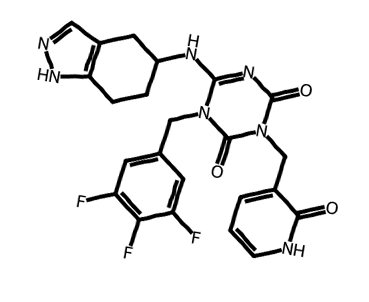 O=c1[nH]cccc1Cn1c(=O)nc(NC2CCc3[nH]ncc3C2)n(Cc2cc(F)c(F)c(F)c2)c1=O